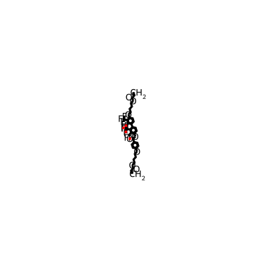 C=CC(=O)OCCCCOc1ccc(C(=O)Oc2ccc(-c3ccc(OCCCCOC(=O)C=C)c(C(F)(F)F)c3C(F)(F)F)c(C(F)(F)F)c2C(F)(F)F)cc1